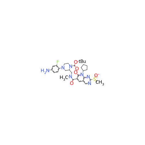 CN(CC1CN(c2ccc(N)cc2F)CCN1C(=O)OC(C)(C)C)C(=O)c1cc2cnc([S+](C)[O-])nc2n(C2CCCC2)c1=O